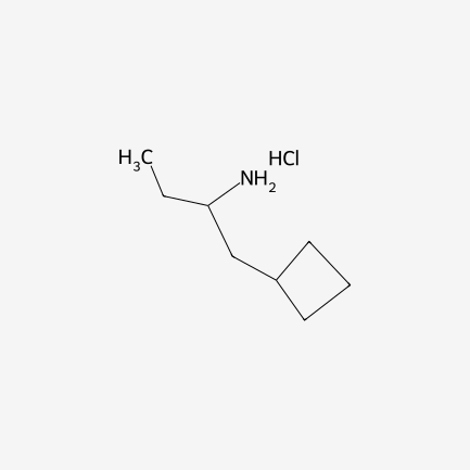 CCC(N)CC1CCC1.Cl